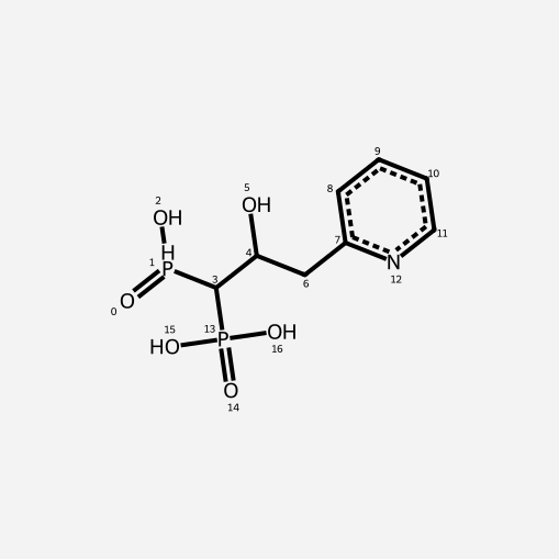 O=[PH](O)C(C(O)Cc1ccccn1)P(=O)(O)O